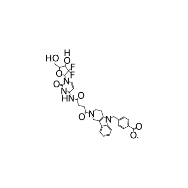 COC(=O)c1ccc(Cn2c3c(c4ccccc42)CN(C(=O)CCC(=O)Nc2ccn(C4OC(CO)C(O)C4(F)F)c(=O)n2)CC3)cc1